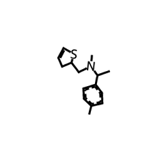 Cc1ccc(C(C)N(C)CC2CC=CS2)cc1